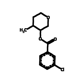 CC1CCOCC1OC(=O)c1cccc(Cl)c1